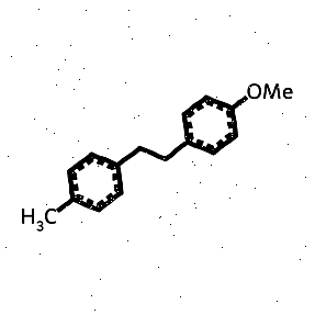 COc1ccc(CCc2ccc(C)cc2)cc1